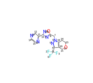 FC(F)(F)c1nn(Cc2nc(-c3cnccn3)no2)c2c1COCC2